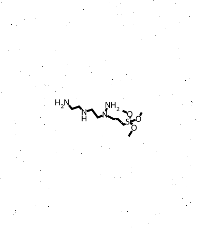 CO[Si](CCCN(N)CCNCCN)(OC)OC